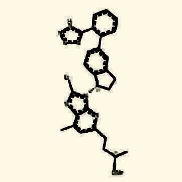 CCc1nc2c(C)cc(CC[C@@H](C)OC)nc2n1[C@H]1CCc2cc(-c3ccccc3-c3nnn[nH]3)ccc21